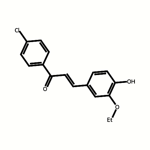 CCOc1cc(C=CC(=O)c2ccc(Cl)cc2)ccc1O